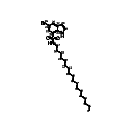 CCCCCCCCCCCCCCCCCCNS(=O)(=O)c1cc(Br)cc2cc[nH]c12